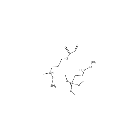 C=CC(=O)OCCC[SiH](C)O[SiH3].CO[Si](CC[SiH2]O[SiH3])(OC)OC